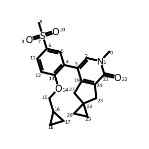 Cn1cc(-c2cc(S(C)(=O)=O)ccc2OCC2CC2)c2c(c1=O)CC1(CC1)C2